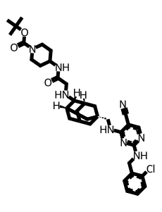 CC(C)(C)OC(=O)N1CCC(NC(=O)CN[C@@H]2[C@@H]3CC4C[C@H]2C[C@](CNc2nc(NCc5ccccc5Cl)ncc2C#N)(C4)C3)CC1